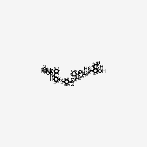 O=C(N[C@@H](c1ccccc1)c1cccc(OCc2ccc(C(=O)OCCCN(CCCNC[C@H](O)c3ccc(O)c4[nH]c(=O)ccc34)C(=O)C3CCCCC3)cc2)c1)O[C@H]1CN2CCC1CC2